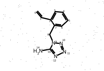 C=Cc1ccccc1Cn1nnnc1N